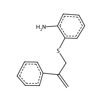 C=C(CSc1ccccc1N)c1ccccc1